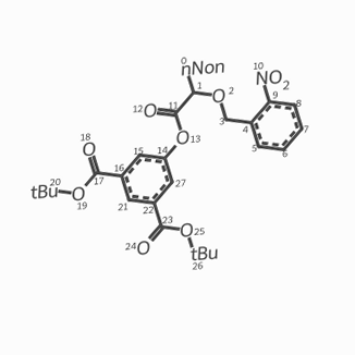 CCCCCCCCCC(OCc1ccccc1[N+](=O)[O-])C(=O)Oc1cc(C(=O)OC(C)(C)C)cc(C(=O)OC(C)(C)C)c1